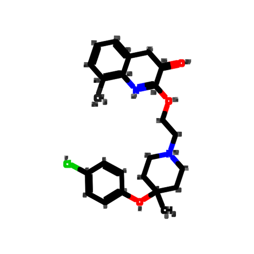 CC1(Oc2ccc(Cl)cc2)CCN(CCOC2=Nc3c(cccc3C(F)(F)F)CC2=O)CC1